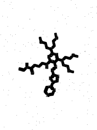 C=CNC(=O)CCCNc1nc(N(CCOC)CCOC)nc(N(CCOC)CCOC)c1N=Nc1ncn(-c2ccncn2)n1